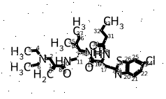 C=C(CN(CC)CC)C(=O)NC[C@@H](NC(=O)[C@H](Cc1nc2ccc(Cl)cc2s1)NC(=O)CCC)[C@@H](C)CC